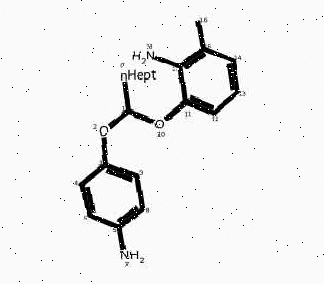 CCCCCCCC(Oc1ccc(N)cc1)Oc1cccc(C)c1N